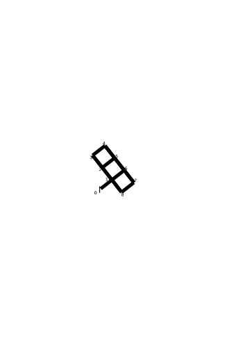 IC12C3C4C5C3C1C5C42